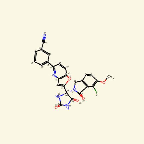 COc1ccc2c(c1F)C(=O)N([C@@]1(c3cc4nc(-c5cccc(C#N)c5)ccc4o3)NC(=O)NC1=O)C2